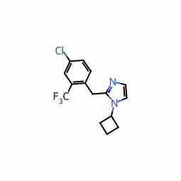 FC(F)(F)c1cc(Cl)ccc1Cc1nccn1C1CCC1